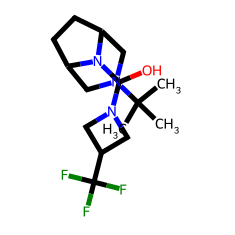 CC(C)(C)N1CC2CCC(C1)N2C(O)N1CC(C(F)(F)F)C1